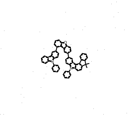 CC1(C)c2ccccc2-c2c1ccc1c2c2cc(-c3ccc4oc5cccc(-c6ccc7c(c6)c6ccccc6n7-c6ccccc6)c5c4c3)ccc2n1-c1ccccc1